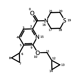 O=C(c1ccc(C2CC2)c(OCC2CC2)n1)N1CCSCC1